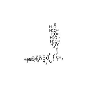 C.CC.CC.COC.O.O.O.O.O.O.O.O.O.O.O